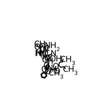 CCCC(CCC)OC(=O)[C@H](C)NP(=O)(OC[C@H]1O[C@@H](n2cnc3c(OC)nc(N)nc32)[C@](C)(C#N)[C@@H]1O)Oc1ccccc1